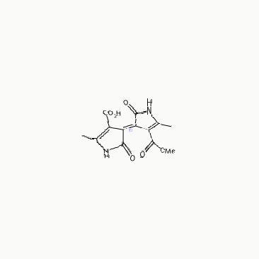 COC(=O)C1=C(C)NC(=O)/C1=C1/C(=O)NC(C)=C1C(=O)O